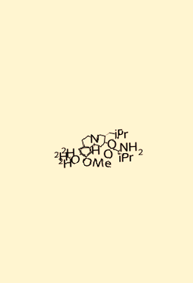 [2H]C([2H])([2H])Oc1cc2c(cc1OC)[C@@H]1C[C@H](OC(=O)[C@@H](N)C(C)C)[C@@H](CC(C)C)CN1CC2